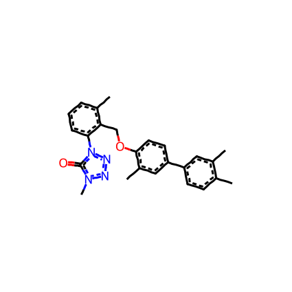 Cc1ccc(-c2ccc(OCc3c(C)cccc3-n3nnn(C)c3=O)c(C)c2)cc1C